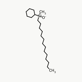 CCCCCCCCCCCCCC[N+](C)([O-])C1CCCCC1